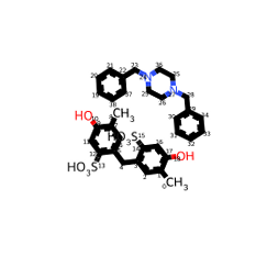 Cc1cc(Cc2cc(C)c(O)cc2S(=O)(=O)O)c(S(=O)(=O)O)cc1O.c1ccc(CN2CCN(Cc3ccccc3)CC2)cc1